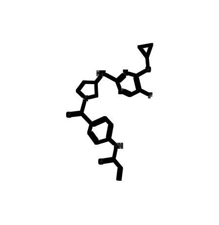 C=CC(=O)Nc1ccc(C(=O)N2CCC(Nc3ncc(F)c(OC4CC4)n3)C2)cc1